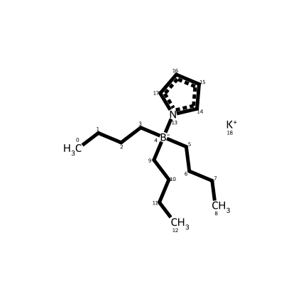 CCCC[B-](CCCC)(CCCC)n1cccc1.[K+]